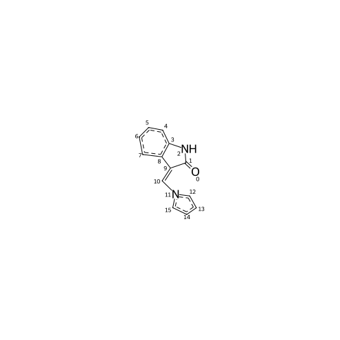 O=C1Nc2ccccc2/C1=C/n1cccc1